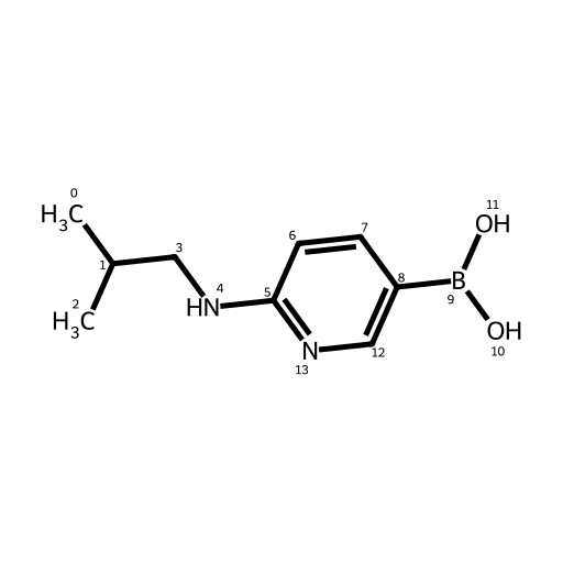 CC(C)CNc1ccc(B(O)O)cn1